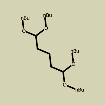 CCCCOC(CCCC(OCCCC)OCCCC)OCCCC